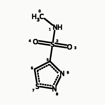 CNS(=O)(=O)c1csnn1